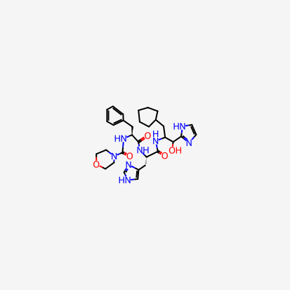 O=C(NC(CC1CCCCC1)C(O)c1ncc[nH]1)[C@H](Cc1c[nH]cn1)NC(=O)[C@H](Cc1ccccc1)NC(=O)N1CCOCC1